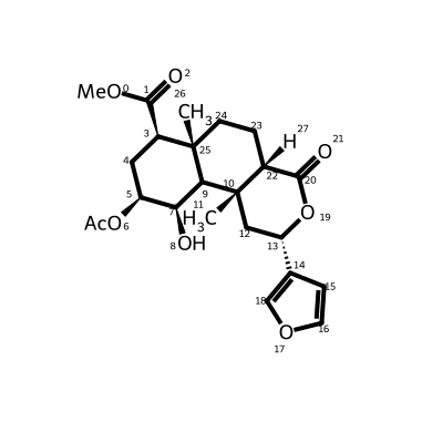 COC(=O)[C@@H]1C[C@H](OC(C)=O)[C@H](O)C2[C@@]3(C)C[C@@H](c4ccoc4)OC(=O)[C@H]3CC[C@]21C